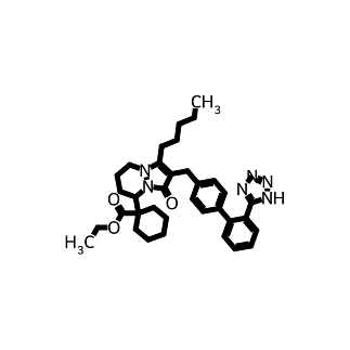 CCCCCc1c(Cc2ccc(-c3ccccc3-c3nnn[nH]3)cc2)c(=O)n2n1CCCC2C1(C(=O)OCC)CCCCC1